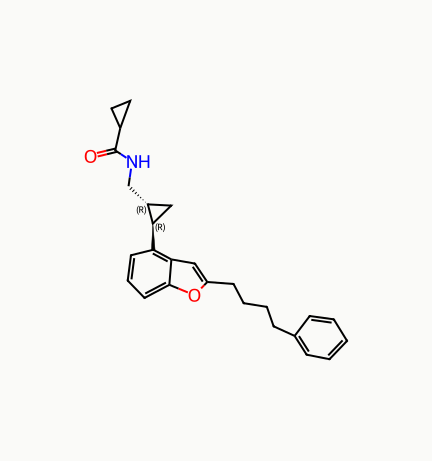 O=C(NC[C@@H]1C[C@H]1c1cccc2oc(CCCCc3ccccc3)cc12)C1CC1